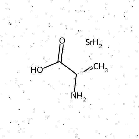 C[C@H](N)C(=O)O.[SrH2]